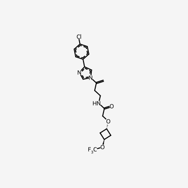 C=C(CCNC(=O)CO[C@H]1C[C@H](OC(F)(F)F)C1)n1cnc(-c2ccc(Cl)cc2)c1